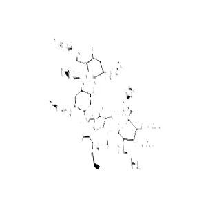 C#CCNC(=O)[C@H]1O[C@@H](O[C@@H]2C(OC(C)=O)[C@H](N=[N+]=[N-])CC(N=[N+]=[N-])[C@H]2O[C@H]2OC(CN=[N+]=[N-])[C@@H](C)[C@H](C)C2N=[N+]=[N-])C(OC(C)=O)[C@H]1O[C@H]1O[C@@H](CN=[N+]=[N-])[C@@H](OC(C)=O)C(OC(C)=O)C1N=[N+]=[N-]